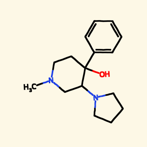 CN1CCC(O)(c2ccccc2)C(N2CCCC2)C1